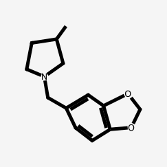 CC1CCN(Cc2ccc3c(c2)OCO3)C1